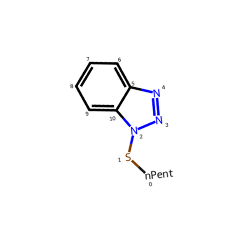 CCCCCSn1nnc2ccccc21